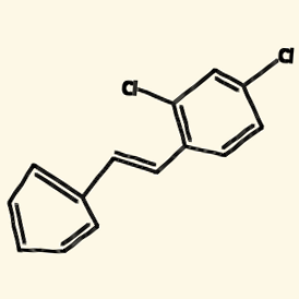 Clc1ccc(/C=C/c2ccccc2)c(Cl)c1